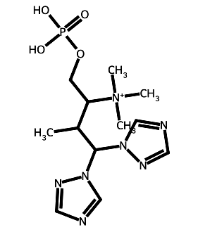 CC(C(n1cncn1)n1cncn1)C(COP(=O)(O)O)[N+](C)(C)C